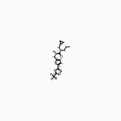 CCCN(CC1CC1)C(=O)N(C)Cc1ccc(-c2noc(C(F)(F)F)n2)s1